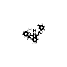 Cc1cccc(OCCc2[nH]c(C3Nc4ccccc4C3(C)C)c3ccccc23)c1